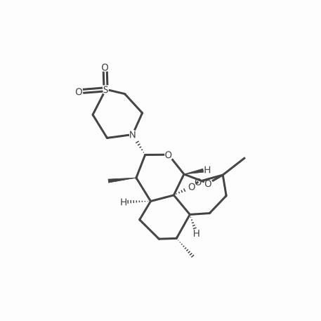 C[C@H]1[C@H](N2CCS(=O)(=O)CC2)O[C@@H]2OC3(C)CC[C@H]4[C@H](C)CC[C@@H]1[C@@]24OO3